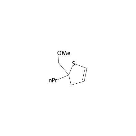 CCCC1(COC)CC=CS1